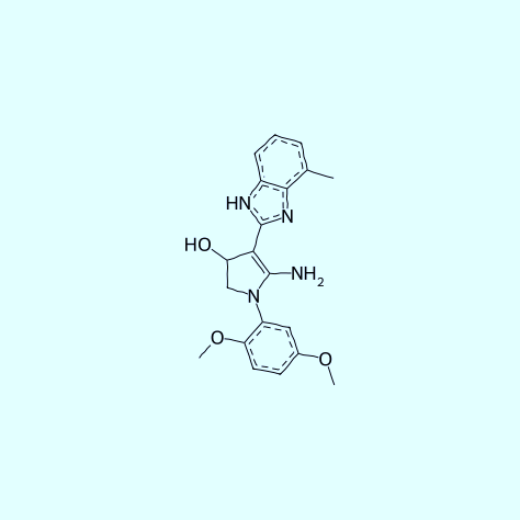 COc1ccc(OC)c(N2CC(O)C(c3nc4c(C)cccc4[nH]3)=C2N)c1